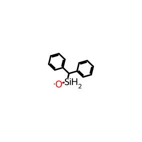 [O][SiH2]C(c1ccccc1)c1ccccc1